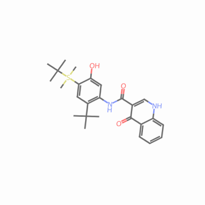 CC(C)(C)c1cc(S(C)(C)C(C)(C)C)c(O)cc1NC(=O)c1c[nH]c2ccccc2c1=O